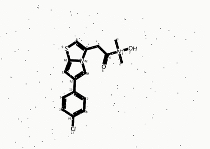 C[N+](C)(O)C(=O)Cc1csc2cc(-c3ccc(Cl)cc3)cn12